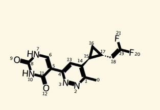 Cc1nnc(-c2c[nH]c(=O)[nH]c2=O)cc1[C@H]1C[C@@H]1C=C(F)F